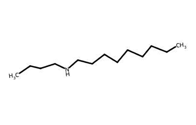 CCCCCCCCCNCCCC